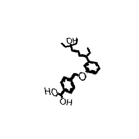 CCC(=CC=CC(O)(CC)CC)c1cccc(OCc2ccc(C(O)O)cc2)c1